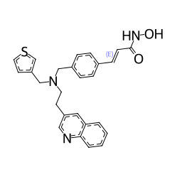 O=C(/C=C/c1ccc(CN(CCc2cnc3ccccc3c2)Cc2ccsc2)cc1)NO